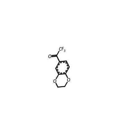 O=C(c1ccc2c(c1)OCCO2)C(F)(F)F